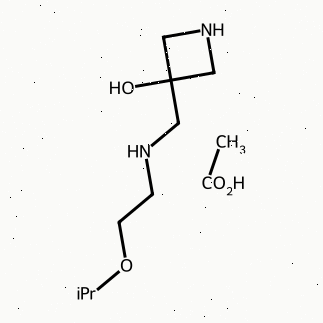 CC(=O)O.CC(C)OCCNCC1(O)CNC1